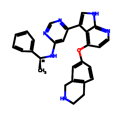 C[C@H](Nc1cc(-c2c[nH]c3nccc(Oc4ccc5c(c4)CNCC5)c23)ncn1)c1ccccc1